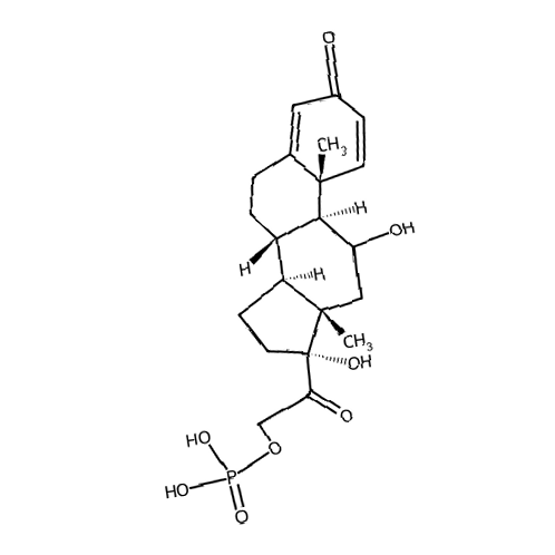 C[C@]12C=CC(=O)C=C1CC[C@@H]1[C@@H]2C(O)C[C@@]2(C)[C@H]1CC[C@]2(O)C(=O)COP(=O)(O)O